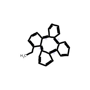 CCc1cccc2/c1=c1/cccc/c1=c1\cccc\c1=c1/cccc/c1=2